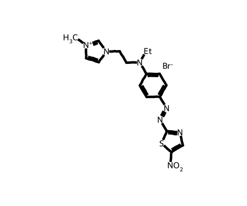 CCN(CCn1cc[n+](C)c1)c1ccc(N=Nc2ncc([N+](=O)[O-])s2)cc1.[Br-]